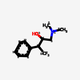 CN(C)CC(O)C(c1ccccc1)C(F)(F)F